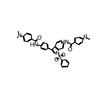 CN(C)c1ccc(C(=O)Nc2ccc(-c3cn(S(=O)(=O)c4ccccc4)c4cc(NC(=O)c5ccc(N(C)C)cc5)ccc34)cc2)cc1